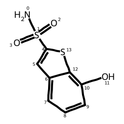 NS(=O)(=O)c1cc2cccc(O)c2s1